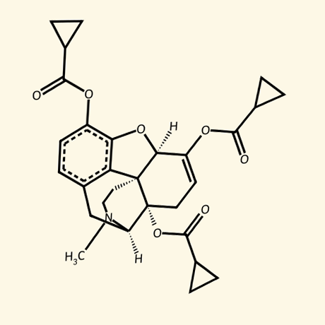 CN1CC[C@]23c4c5ccc(OC(=O)C6CC6)c4O[C@H]2C(OC(=O)C2CC2)=CC[C@@]3(OC(=O)C2CC2)[C@H]1C5